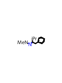 CN/N=C(/Cc1ccccc1)C(C)C